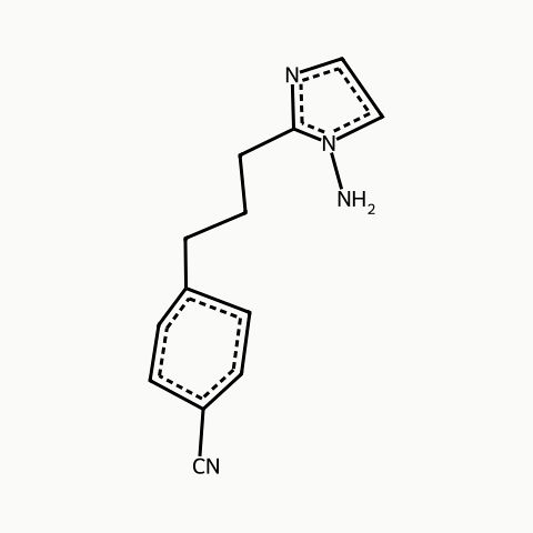 N#Cc1ccc(CCCc2nccn2N)cc1